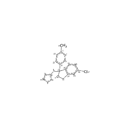 Cc1ccc(C2(Cn3ccnc3)OCc3cc(Cl)ccc32)cc1